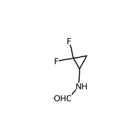 O=[C]NC1CC1(F)F